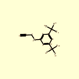 C#CC[N]c1cc(C(F)(F)F)cc(C(F)(F)F)c1